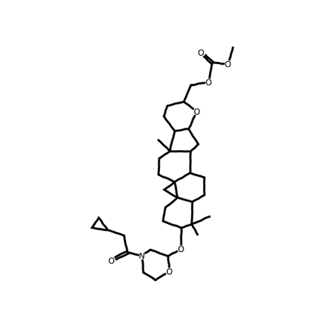 COC(=O)OCC1CCC2C(CC3C4CCC5C(C)(C)C(OC6CN(C(=O)CC7CC7)CCO6)CCC56CC46CCC23C)O1